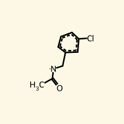 CC(=O)[N]Cc1cccc(Cl)c1